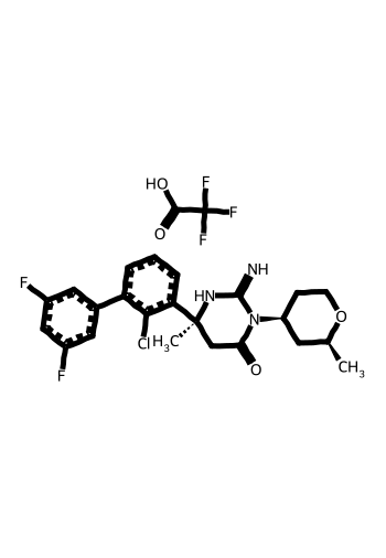 C[C@H]1C[C@@H](N2C(=N)N[C@](C)(c3cccc(-c4cc(F)cc(F)c4)c3Cl)CC2=O)CCO1.O=C(O)C(F)(F)F